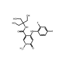 Cn1cc(C(=O)NC(CO)(CO)CO)c(Nc2ccc(I)cc2F)cc1=O